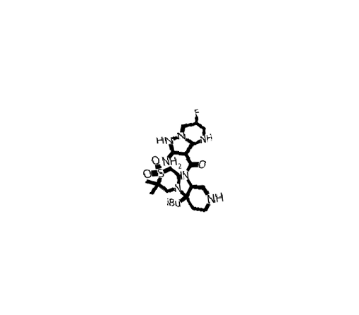 CCC(C)C1(N2CCS(=O)(=O)C(C)(C)C2)CCNCC1NC(=O)C1C(N)NN2CC(F)CNC12